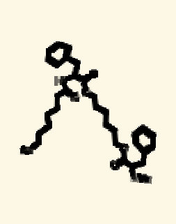 CNC(Cc1ccccc1)C(=O)OCCCCCCOC(=O)C(Cc1ccccc1)NC(=O)CCCCCCC(C)=O